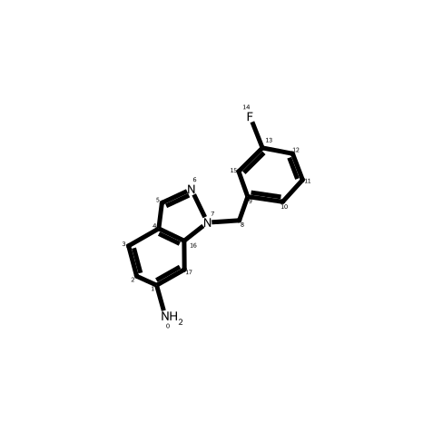 Nc1ccc2cnn(Cc3cccc(F)c3)c2c1